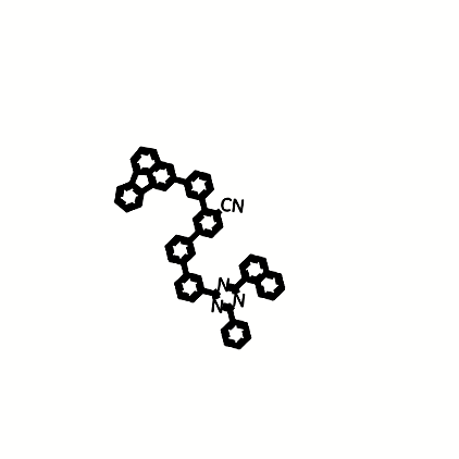 N#Cc1ccc(-c2cccc(-c3cccc(-c4nc(-c5ccccc5)nc(-c5cccc6ccccc56)n4)c3)c2)cc1-c1cccc(-c2cc3c4c(cccc4c2)-c2ccccc2-3)c1